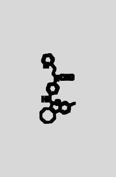 Cc1ccc(/C2=C(\C(=O)Nc3ccc(N(C=O)CCc4ccccn4)cc3)CCCCCC2)cc1